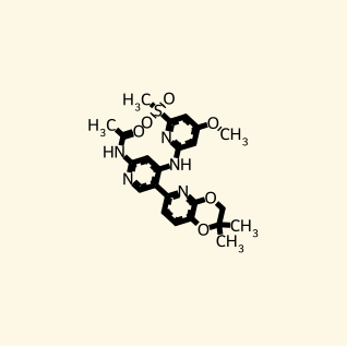 COc1cc(Nc2cc(NC(C)=O)ncc2-c2ccc3c(n2)OCC(C)(C)O3)nc(S(C)(=O)=O)c1